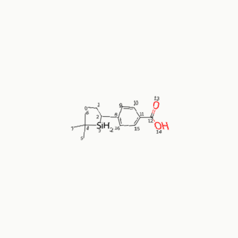 CCC([SiH2]C(C)(C)C)c1ccc(C(=O)O)cc1